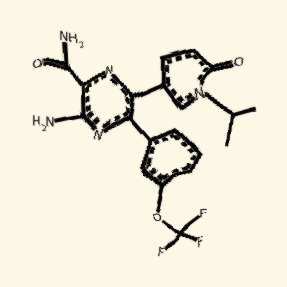 CC(C)n1cc(-c2nc(C(N)=O)c(N)nc2-c2cccc(OC(F)(F)F)c2)ccc1=O